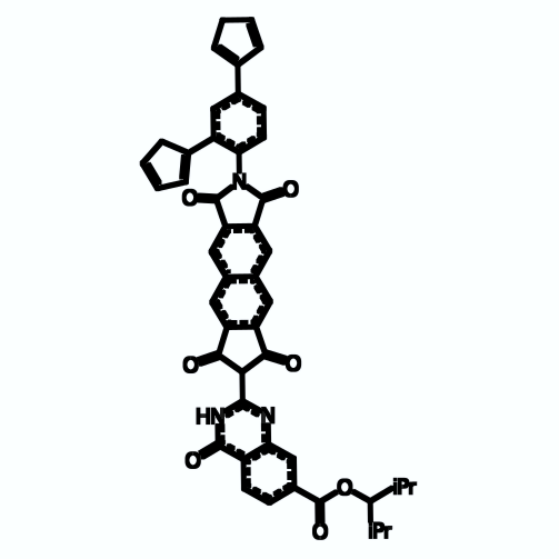 CC(C)C(OC(=O)c1ccc2c(=O)[nH]c(C3C(=O)c4cc5cc6c(cc5cc4C3=O)C(=O)N(c3ccc(C4=CCC=C4)cc3C3=CC=CC3)C6=O)nc2c1)C(C)C